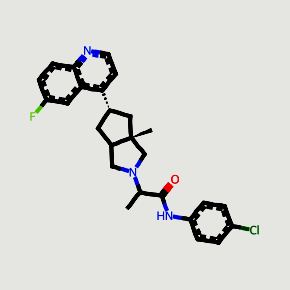 CC(C(=O)Nc1ccc(Cl)cc1)N1CC2C[C@H](c3ccnc4ccc(F)cc34)C[C@]2(C)C1